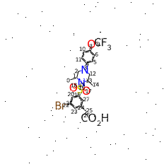 CC1CN(c2ccc(OC(F)(F)F)cc2)CC(C)N1S(=O)(=O)c1cc(Br)cc(CC(=O)O)c1